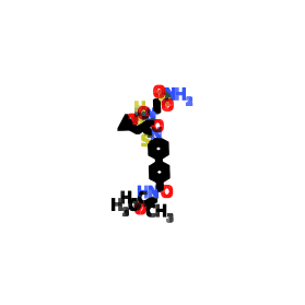 COC(C)(C)CNC(=O)c1ccc(-c2ccc3nc(C(CC4CC4)(C(=O)NCCS(N)(=O)=O)[SH](=O)=O)sc3c2)cc1